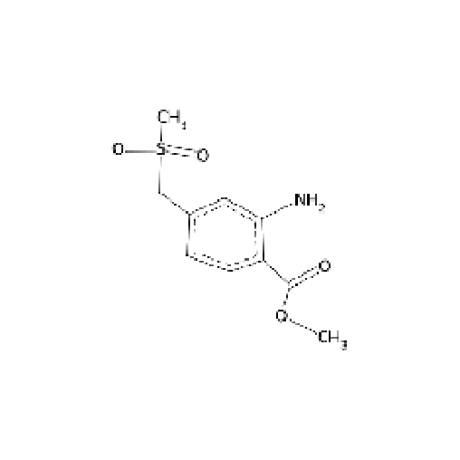 COC(=O)c1ccc(CS(C)(=O)=O)cc1N